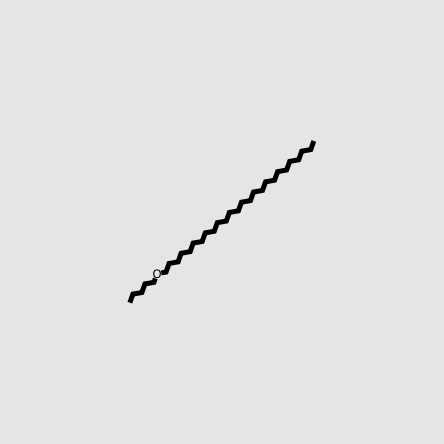 CCCCCCCCCCCCCCCCCCCCCCCCCCOCCCCC